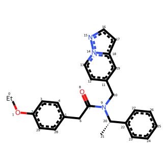 CCOc1ccc(CC(=O)N(Cc2ccn3nccc3c2)[C@@H](C)c2ccccc2)cc1